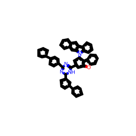 c1ccc(-c2ccc(C3=NC(c4cccc(-c5ccccc5)c4)NC(c4cc(-n5c6ccccc6c6cc7ccccc7cc65)c5c(c4)oc4ccccc45)=N3)cc2)cc1